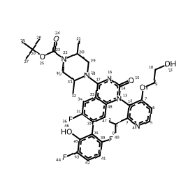 CC(C)c1nccc(OCCO)c1-n1c(=O)nc(N2CC(C)N(C(=O)OC(C)(C)C)CC2C)c2cc(F)c(-c3c(F)ccc(F)c3O)cc21